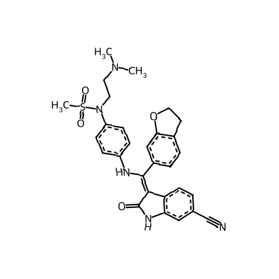 CN(C)CCN(c1ccc(N/C(=C2\C(=O)Nc3cc(C#N)ccc32)c2ccc3c(c2)OCC3)cc1)S(C)(=O)=O